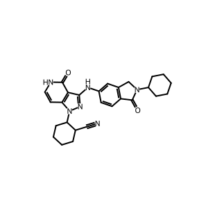 N#CC1CCCCC1n1nc(Nc2ccc3c(c2)CN(C2CCCCC2)C3=O)c2c(=O)[nH]ccc21